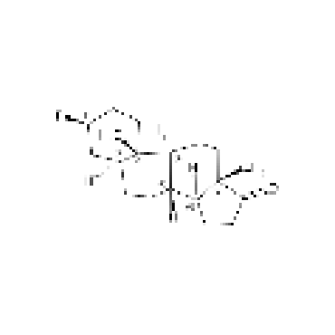 C[C@]12CC[C@H](F)C[C@@H]1CC[C@@H]1[C@@H]2CC[C@]2(C)C(=O)CC[C@@H]12